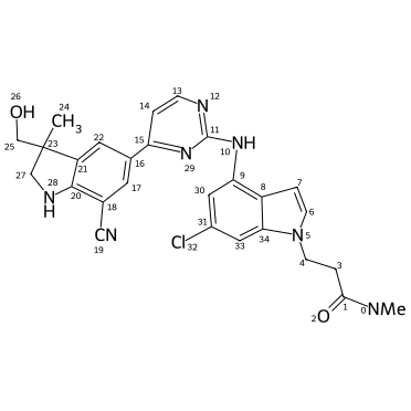 CNC(=O)CCn1ccc2c(Nc3nccc(-c4cc(C#N)c5c(c4)C(C)(CO)CN5)n3)cc(Cl)cc21